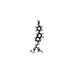 COC(COc1ccc2cc(-c3ccc(C#N)cc3)ccc2n1)OC